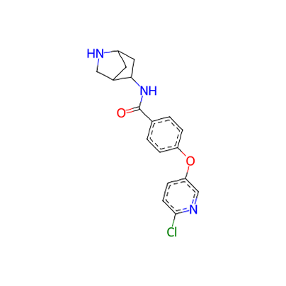 O=C(NC1CC2CC1CN2)c1ccc(Oc2ccc(Cl)nc2)cc1